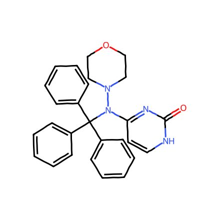 O=c1nc(N(N2CCOCC2)C(c2ccccc2)(c2ccccc2)c2ccccc2)cc[nH]1